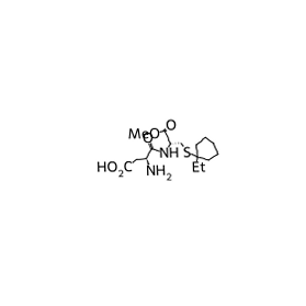 CCC1(SC[C@H](NC(=O)[C@@H](N)CC(=O)O)C(=O)OC)CCCCC1